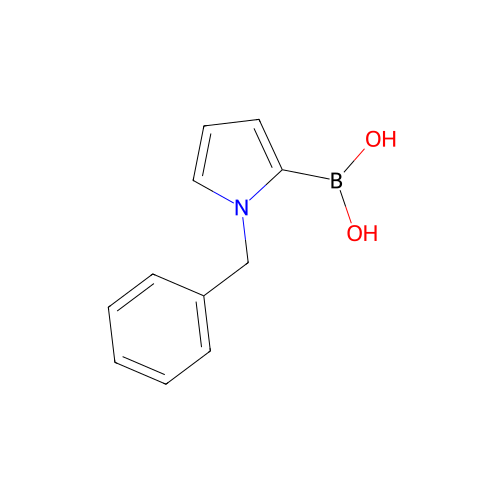 OB(O)c1cccn1Cc1ccccc1